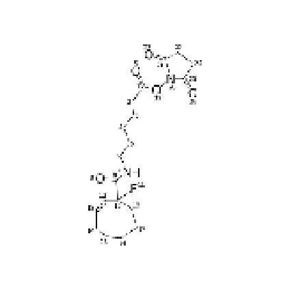 O=C(CCCCCNC(=O)C1(F)/C=C\CCCCC1)ON1C(=O)CCC1=O